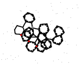 c1ccc(C2(c3ccccc3)c3ccccc3-c3cccc(N(c4ccccc4-c4ccc(-c5cccc6ccccc56)c5ccccc45)c4ccccc4C4CCCCC4)c32)cc1